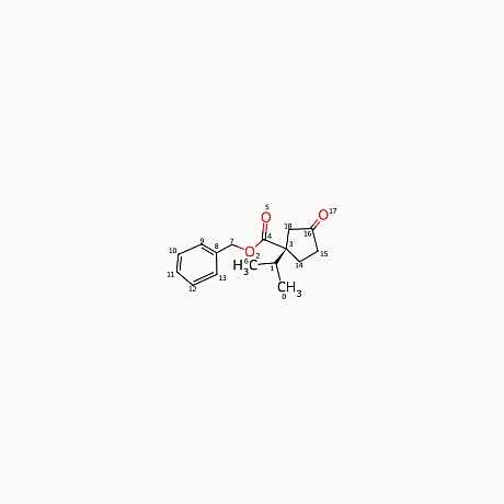 CC(C)[C@]1(C(=O)OCc2ccccc2)CCC(=O)C1